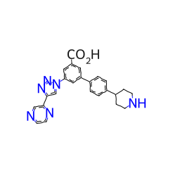 O=C(O)c1cc(-c2ccc(C3CCNCC3)cc2)cc(-n2cc(-c3cnccn3)nn2)c1